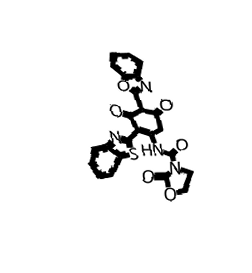 O=C1CC(NC(=O)N2CCOC2=O)=C(c2nc3ccccc3s2)C(=O)C1c1nc2ccccc2o1